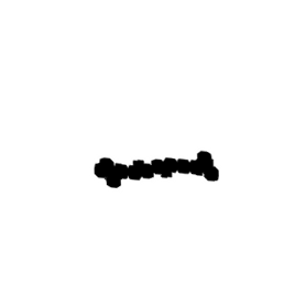 CC1(C)c2cc(-c3ccc(-c4ccc5c(c4)c4ccccc4n5-c4ccccc4)cc3)ccc2-c2ccc(-c3ccc4c(c3)C(C)(C)c3cc(-c5ccc6c(c5)c5ccccc5n6-c5cccc6ccccc56)ccc3-4)cc21